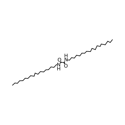 CCCCCCCCCCCCCCCCCCNC(=O)C(=O)NCCCCCCCCCCCCCCCCCC